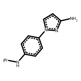 CC(C)Nc1ccc(-n2ccc(N)n2)cc1